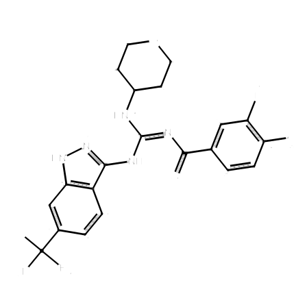 O=C(/N=C(\Nc1n[nH]c2cc(C(F)(F)F)ccc12)NC1CCOCC1)c1ccc(Cl)c(F)c1